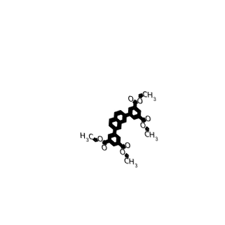 CCOC(=O)c1cc(C(=O)OCC)cc(-c2ccc3ccc(-c4cc(C(=O)OCC)cc(C(=O)OCC)c4)cc3c2)c1